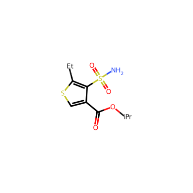 CCc1scc(C(=O)OC(C)C)c1S(N)(=O)=O